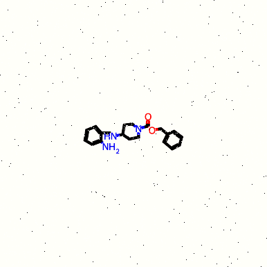 Nc1ccccc1CNC1CCN(C(=O)OCc2ccccc2)CC1